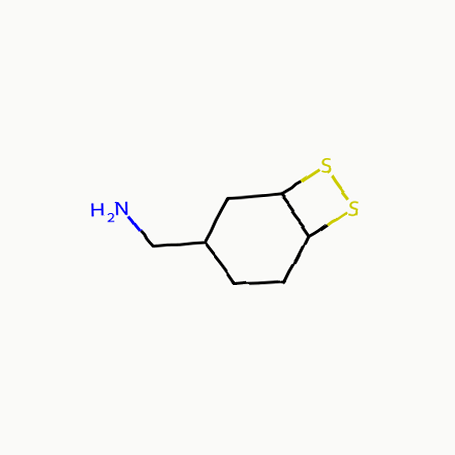 NCC1CCC2SSC2C1